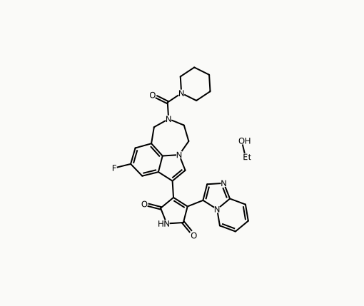 CCO.O=C1NC(=O)C(c2cnc3ccccn23)=C1c1cn2c3c(cc(F)cc13)CN(C(=O)N1CCCCC1)CC2